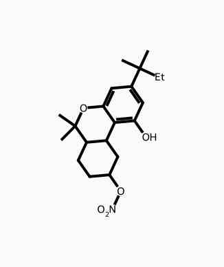 CCC(C)(C)c1cc(O)c2c(c1)OC(C)(C)C1CCC(O[N+](=O)[O-])CC21